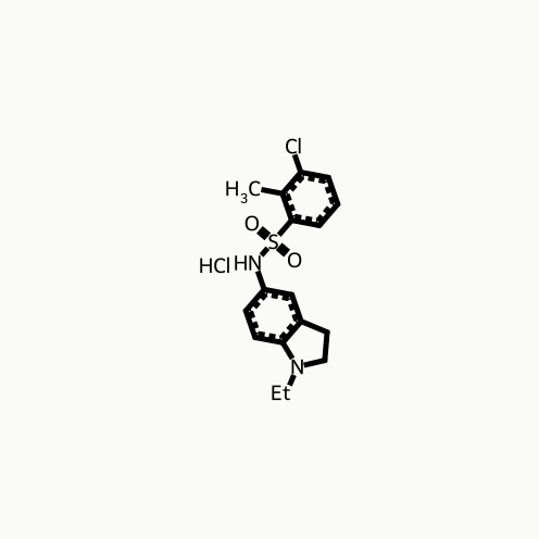 CCN1CCc2cc(NS(=O)(=O)c3cccc(Cl)c3C)ccc21.Cl